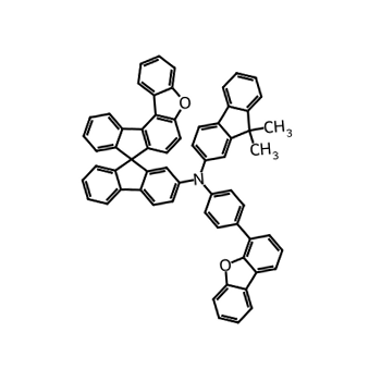 CC1(C)c2ccccc2-c2ccc(N(c3ccc(-c4cccc5c4oc4ccccc45)cc3)c3ccc4c(c3)C3(c5ccccc5-4)c4ccccc4-c4c3ccc3oc5ccccc5c43)cc21